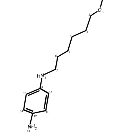 CC(C)OCCCCCCNc1ccc(N)cc1